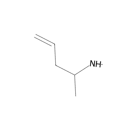 C=CCC(C)[NH]